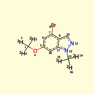 [2H]C([2H])([2H])Oc1cc(Br)c2cnn(C([2H])([2H])[2H])c2c1